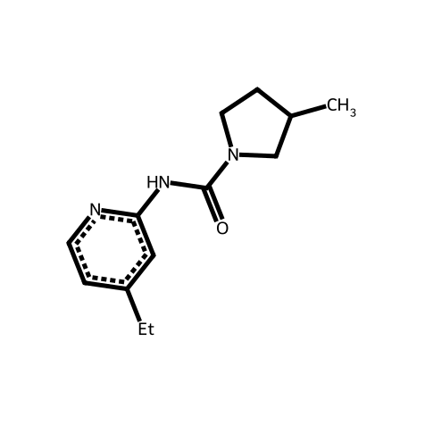 CCc1ccnc(NC(=O)N2CCC(C)C2)c1